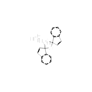 C[C]1([Zr][C]2(C)C=Cc3ccccc32)C=Cc2ccccc21.F.F